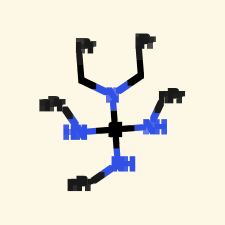 CCCN[Si](NCCC)(NCCC)N(CC(C)C)CC(C)C